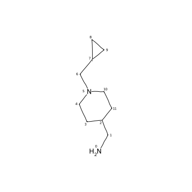 NCC1CCN(C[C]2CC2)CC1